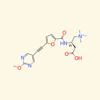 COc1ncc(C#Cc2ccc(C(=O)N[C@H](CC(=O)O)C[N+](C)(C)C)o2)cn1